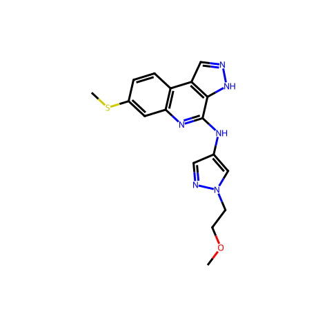 COCCn1cc(Nc2nc3cc(SC)ccc3c3cn[nH]c23)cn1